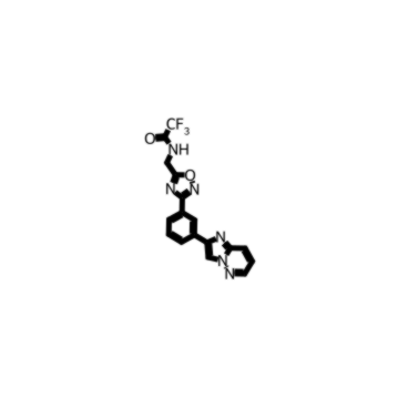 O=C(NCc1nc(-c2cccc(-c3cn4ncccc4n3)c2)no1)C(F)(F)F